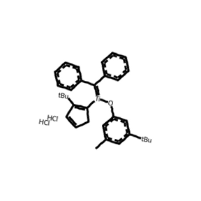 Cc1cc([O][Ti]([C]2=C(C(C)(C)C)C=CC2)=[C](c2ccccc2)c2ccccc2)cc(C(C)(C)C)c1.Cl.Cl